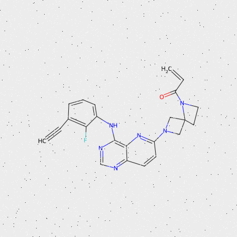 C#Cc1cccc(Nc2ncnc3ccc(N4CC5(CCN5C(=O)C=C)C4)nc23)c1F